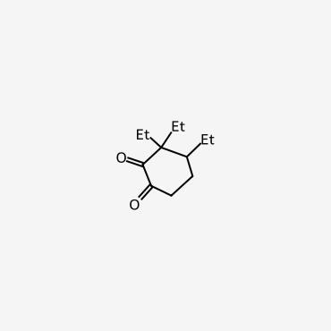 CCC1CCC(=O)C(=O)C1(CC)CC